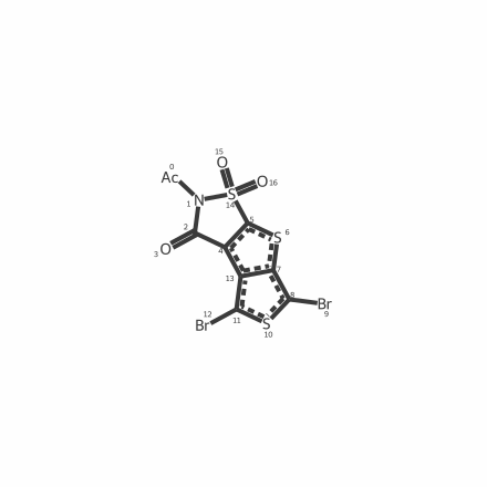 CC(=O)N1C(=O)c2c(sc3c(Br)sc(Br)c23)S1(=O)=O